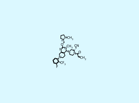 C=CC(=O)N1CCN(C2C3=C(CN(c4cccc(F)c4C(F)(F)F)CC3)N=C(OC[C@H]3CCCN3C)N2C)C[C@@H]1CC#N